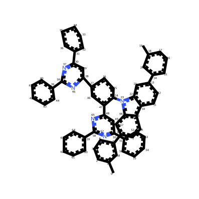 Cc1cccc(-c2ccc3c4ccc(-c5cccc(C)c5)cc4n(-c4ccc(-c5cc(-c6ccccc6)nc(-c6ccccc6)n5)cc4-c4cc(-c5ccccc5)nc(-c5ccccc5)n4)c3c2)c1